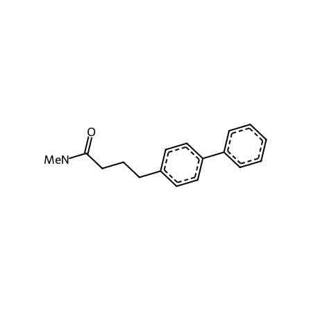 CNC(=O)CCCc1ccc(-c2ccccc2)cc1